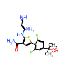 CC(C)(O)c1cc(F)c(-c2cc(C(N)=O)c(N/C(N)=C/C=N)s2)c(F)c1